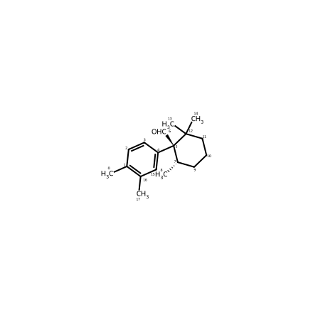 Cc1ccc([C@@]2(C=O)[C@@H](C)CCCC2(C)C)cc1C